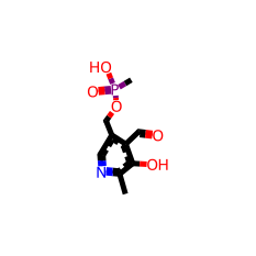 Cc1ncc(COP(C)(=O)O)c(C=O)c1O